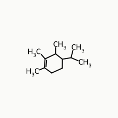 CC1=C(C)C(C)C(C(C)C)CC1